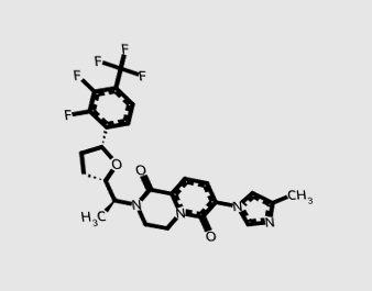 Cc1cn(-c2ccc3n(c2=O)CCN([C@@H](C)[C@@H]2CC[C@H](c4ccc(C(F)(F)F)c(F)c4F)O2)C3=O)cn1